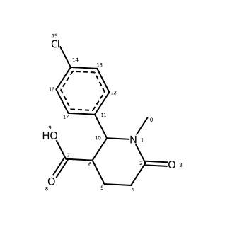 CN1C(=O)CCC(C(=O)O)C1c1ccc(Cl)cc1